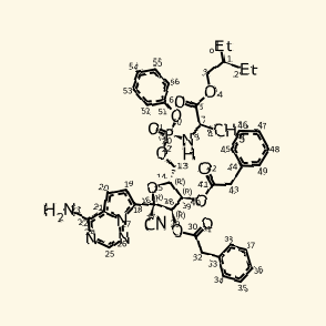 CCC(CC)COC(=O)C(C)N[P@](=O)(OC[C@H]1O[C@@](C#N)(c2ccc3c(N)ncnn23)[C@H](OC(=O)Cc2ccccc2)[C@@H]1OC(=O)Cc1ccccc1)Oc1ccccc1